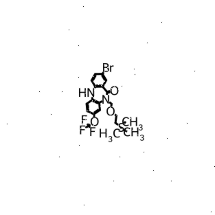 CS(C)(C)CCOCN1C(=O)c2cc(Br)ccc2Nc2ccc(OC(F)(F)F)cc21